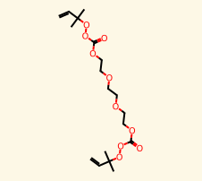 C=CC(C)(C)OOC(=O)OCCOCCOCCOC(=O)OOC(C)(C)C=C